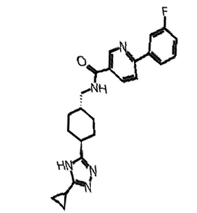 O=C(NC[C@H]1CC[C@H](c2nnc(C3CC3)[nH]2)CC1)c1ccc(-c2cccc(F)c2)nc1